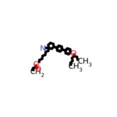 C=CC(=O)OCCCCCCCC1(C#N)CCCC(c2ccc(-c3ccc(OC(CCC)CCCC)cc3)cc2)C1